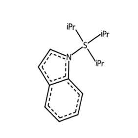 CC(C)S(C(C)C)(C(C)C)n1ccc2ccccc21